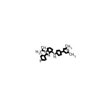 Cc1cc(-c2ccc(Nc3cccc4c3nc(-c3ccc(F)cc3)n4C(C)C)cc2)cc(C)n1